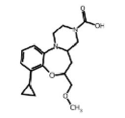 COCC1CC2CN(C(=O)O)CCN2c2cccc(C3CC3)c2O1